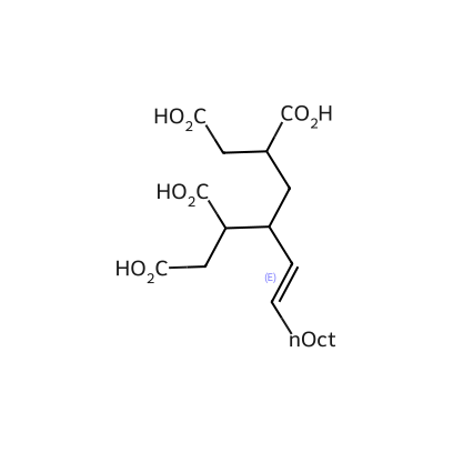 CCCCCCCC/C=C/C(CC(CC(=O)O)C(=O)O)C(CC(=O)O)C(=O)O